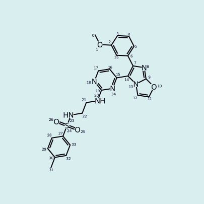 COc1cccc(-c2nc3occn3c2-c2ccnc(NCCNS(=O)(=O)c3ccc(C)cc3)n2)c1